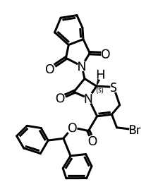 O=C(OC(c1ccccc1)c1ccccc1)C1=C(CBr)CS[C@H]2C(N3C(=O)c4ccccc4C3=O)C(=O)N12